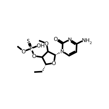 CC[C@H]1O[C@@H](n2ccc(N)nc2=O)C(OC)C1OP(O)(=S)OC